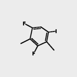 Cc1c(F)cc(I)c(C)c1F